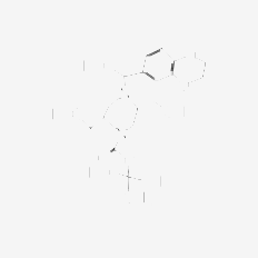 CC[C@H]1CN(C(C)c2ccc3c(c2)OCCO3)[C@H](CC)CN1C(=O)OC(C)(C)C